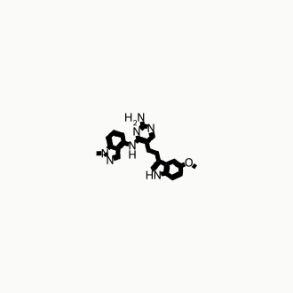 COc1ccc2[nH]cc(CCc3cnc(N)nc3Nc3cccc4c3cnn4C)c2c1